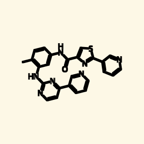 Cc1ccc(NC(=O)c2csc(-c3cccnc3)n2)cc1Nc1nccc(-c2cccnc2)n1